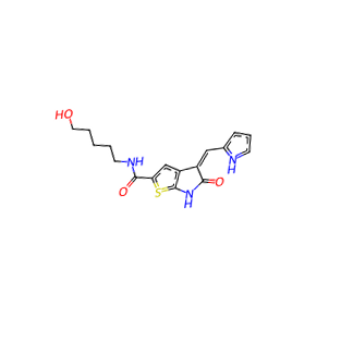 O=C1Nc2sc(C(=O)NCCCCCO)cc2/C1=C/c1ccc[nH]1